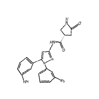 CCCc1cccc(-c2cc(NC(=O)[C@@H]3CNC(=O)C3)nn2-c2cccc(C(C)C)c2)c1